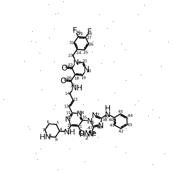 COc1c(NC2CCCNC2)nc(C=CCNC(=O)c2cncn(Cc3ccc(F)c(F)c3)c2=O)nc1-n1nc(Nc2ccccc2)nc1N